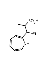 CCC(C1=CC=CC=CN1)C(C)S(=O)(=O)O